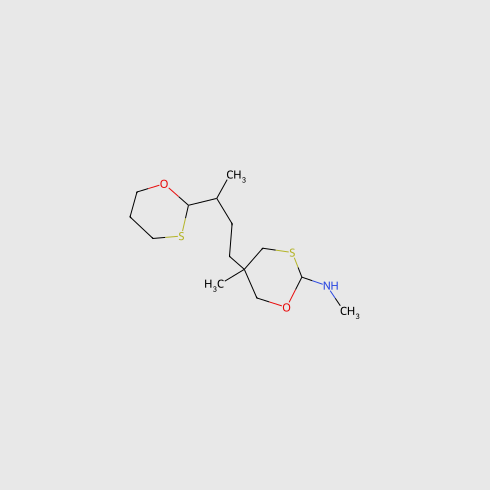 CNC1OCC(C)(CCC(C)C2OCCCS2)CS1